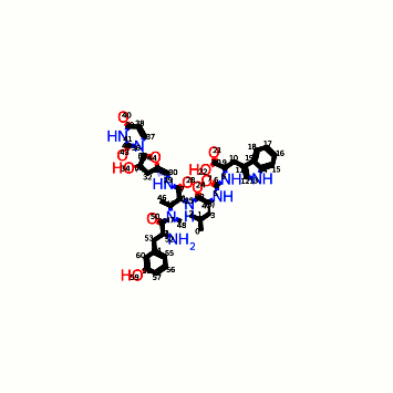 CC(C)C[C@H](NC(=O)NC(Cc1c[nH]c2ccccc12)C(=O)O)C(=O)N[C@H](C(=O)N/C=C1\C[C@@H](O)[C@H](n2ccc(=O)[nH]c2=O)O1)C(C)N(C)C(=O)[C@@H](N)Cc1cccc(O)c1